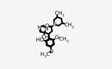 COc1cc(O)c(C(CC(=O)N2CC(C)CC(C)C2)C2(C)C=NC=N2)c(OC)c1